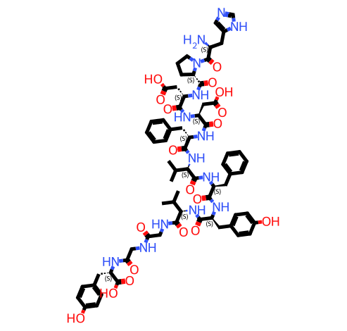 CC(C)[C@H](NC(=O)[C@H](Cc1ccc(O)cc1)NC(=O)[C@H](Cc1ccccc1)NC(=O)[C@@H](NC(=O)[C@H](Cc1ccccc1)NC(=O)[C@H](CC(=O)O)NC(=O)[C@H](CC(=O)O)NC(=O)[C@@H]1CCCN1C(=O)[C@@H](N)Cc1cnc[nH]1)C(C)C)C(=O)NCC(=O)NCC(=O)N[C@@H](Cc1ccc(O)cc1)C(=O)O